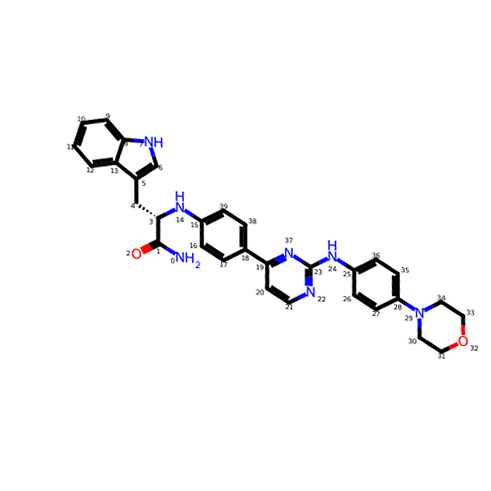 NC(=O)[C@H](Cc1c[nH]c2ccccc12)Nc1ccc(-c2ccnc(Nc3ccc(N4CCOCC4)cc3)n2)cc1